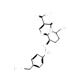 CCc1ccc(NN=C2CCC(C)n3c2ncc(C(=O)O)c3=O)cc1